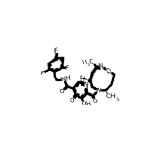 C/C1=N/OCC[C@H](C)N2C[C@H](C1)n1cc(C(=O)NCc3c(F)cc(F)cc3F)c(=O)c(O)c1C2=O